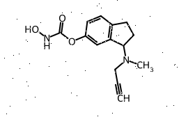 C#CCN(C)C1CCc2ccc(OC(=O)NO)cc21